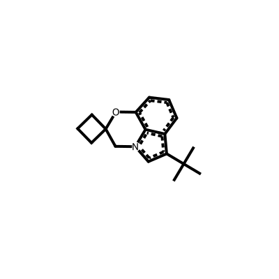 CC(C)(C)c1cn2c3c(cccc13)OC1(CCC1)C2